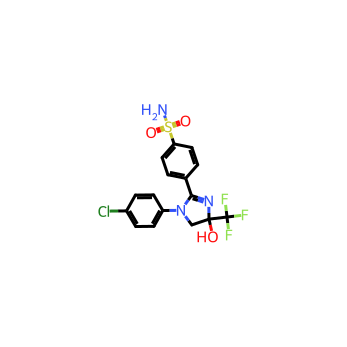 NS(=O)(=O)c1ccc(C2=NC(O)(C(F)(F)F)CN2c2ccc(Cl)cc2)cc1